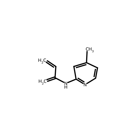 C=CC(=C)Nc1cc(C)ccn1